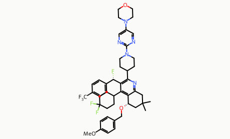 COc1ccc(CO[C@H]2CC(C)(C)Cc3nc(C4CCN(c5ncc(N6CCOCC6)cn5)CC4)c([C@@H](F)c4ccc(C(F)(F)F)cc4)c(C4CCC(F)(F)CC4)c32)cc1